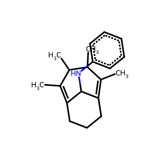 CC1=C2CCCC(=C(C)C(C)C1C)C2Nc1ccccc1